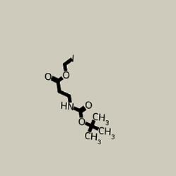 CC(C)(C)OC(=O)NCCC(=O)OCI